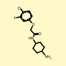 NC1CCC(NC(=O)COc2ccc(Cl)c(F)c2)CC1